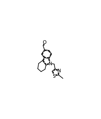 Cc1nc(Cn2c3c(c4cc(C=O)ccc42)CCCC3)cs1